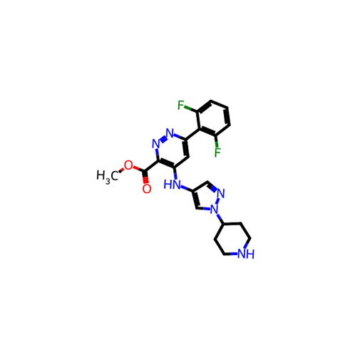 COC(=O)c1nnc(-c2c(F)cccc2F)cc1Nc1cnn(C2CCNCC2)c1